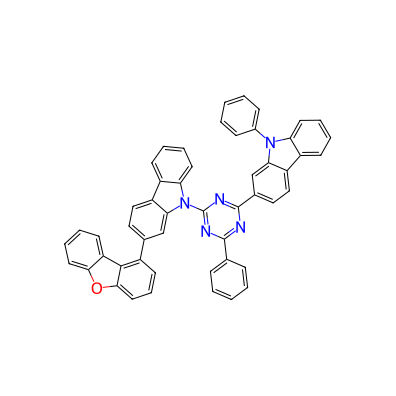 c1ccc(-c2nc(-c3ccc4c5ccccc5n(-c5ccccc5)c4c3)nc(-n3c4ccccc4c4ccc(-c5cccc6oc7ccccc7c56)cc43)n2)cc1